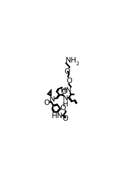 C=C/C=C(/NC(=O)C(/C=C\C)=C/N(C(=O)c1ccc2c(c1)OCC(=O)N2)C1CC1)C(C)NCCOCCOCCN